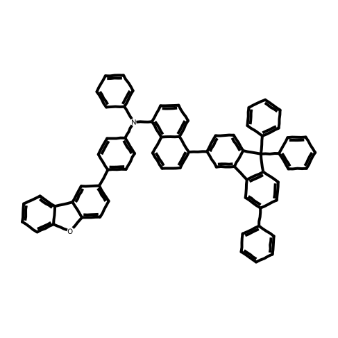 c1ccc(-c2ccc3c(c2)-c2cc(-c4cccc5c(N(c6ccccc6)c6ccc(-c7ccc8oc9ccccc9c8c7)cc6)cccc45)ccc2C3(c2ccccc2)c2ccccc2)cc1